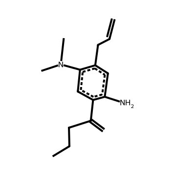 C=CCc1cc(N)c(C(=C)CCC)cc1N(C)C